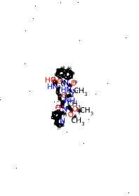 CCOC(OCC)[C@H](C)N(Cc1cccc2cccnc12)C(=O)[C@H](CCCCNC(=O)O)NC(=O)CN(C)NC(=O)N(C)c1cccc2ccccc12